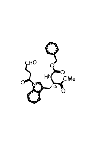 COC(=O)[C@H](Cc1cn(C(=O)CCC=O)c2ccccc12)NC(=O)OCc1ccccc1